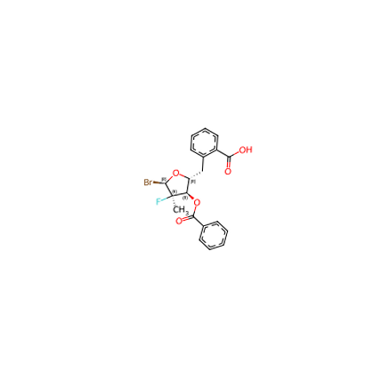 C[C@@]1(F)[C@H](OC(=O)c2ccccc2)[C@@H](Cc2ccccc2C(=O)O)O[C@@H]1Br